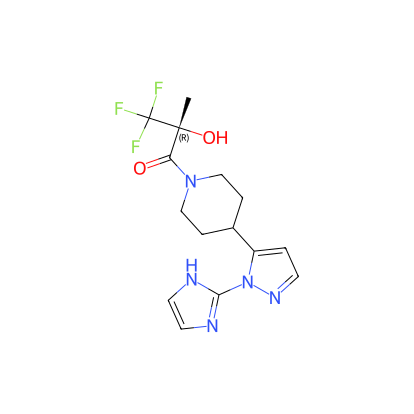 C[C@@](O)(C(=O)N1CCC(c2ccnn2-c2ncc[nH]2)CC1)C(F)(F)F